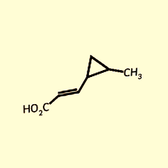 CC1CC1/C=C/C(=O)O